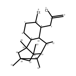 C=C(Cl)CC1C(CC)CCC2C1C(C)C1C(C)C3(C)CC2(C)C1(C)C3